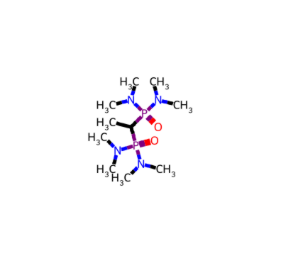 CC(P(=O)(N(C)C)N(C)C)P(=O)(N(C)C)N(C)C